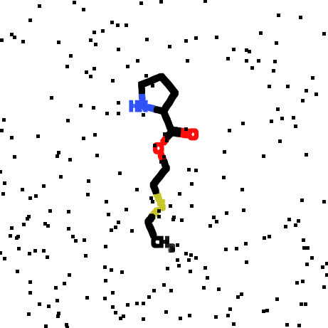 CCSCCOC(=O)C1CCCN1